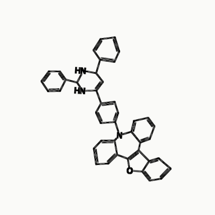 C1=C(c2ccc(N3c4ccccc4-c4oc5ccccc5c4-c4ccccc43)cc2)NC(c2ccccc2)NC1c1ccccc1